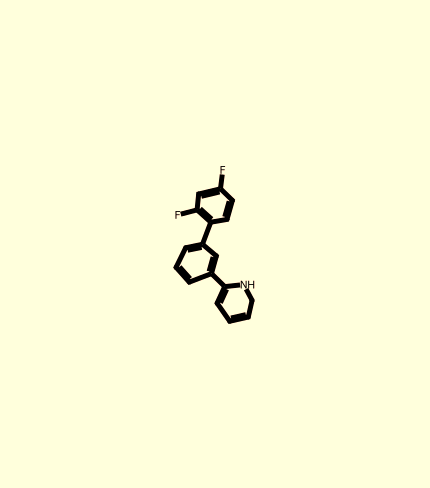 Fc1ccc(-c2cccc(C3=CC=CCN3)c2)c(F)c1